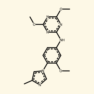 COc1nc(Nc2ccc(-n3cnc(C)c3)c(OC)c2)nc(OC)n1